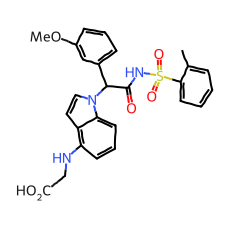 COc1cccc(C(C(=O)NS(=O)(=O)c2ccccc2C)n2ccc3c(NCC(=O)O)cccc32)c1